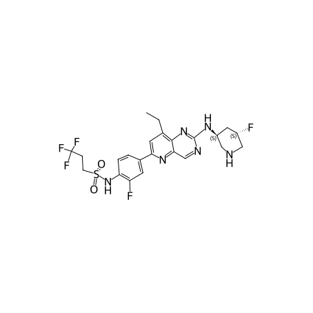 CCc1cc(-c2ccc(NS(=O)(=O)CCC(F)(F)F)c(F)c2)nc2cnc(N[C@@H]3CNC[C@@H](F)C3)nc12